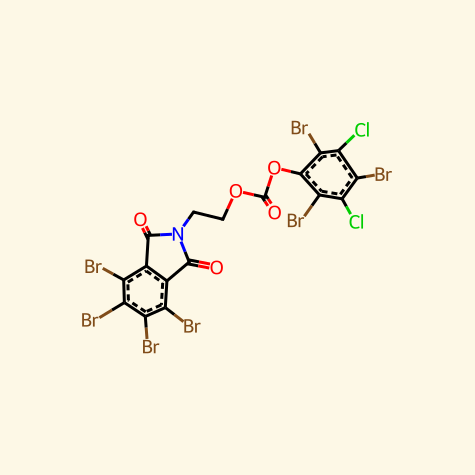 O=C(OCCN1C(=O)c2c(Br)c(Br)c(Br)c(Br)c2C1=O)Oc1c(Br)c(Cl)c(Br)c(Cl)c1Br